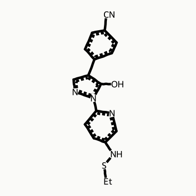 CCSNc1ccc(-n2ncc(-c3ccc(C#N)cc3)c2O)nc1